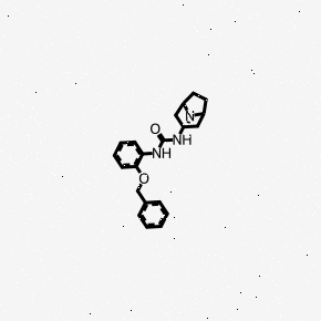 CN1C2CCC1CC(NC(=O)Nc1ccccc1OCc1ccccc1)C2